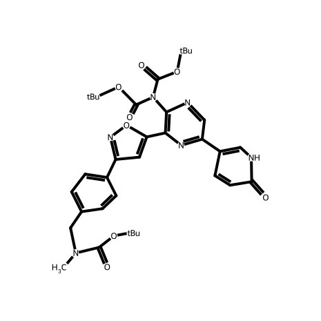 CN(Cc1ccc(-c2cc(-c3nc(-c4ccc(=O)[nH]c4)cnc3N(C(=O)OC(C)(C)C)C(=O)OC(C)(C)C)on2)cc1)C(=O)OC(C)(C)C